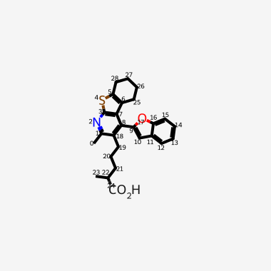 Cc1nc2sc3c(c2c(-c2cc4ccccc4o2)c1CCCC(C)C(=O)O)CCCC3